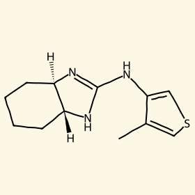 Cc1cscc1NC1=N[C@@H]2CCCC[C@H]2N1